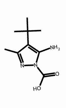 Cc1nn(C(=O)O)c(N)c1C(C)(C)C